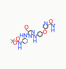 CNC(=O)c1cc(Oc2ccc(Nc3ncc(C=O)c(NC4=CC(NC(=O)OC(C)(C)C)=CCC4)n3)cc2)ccn1